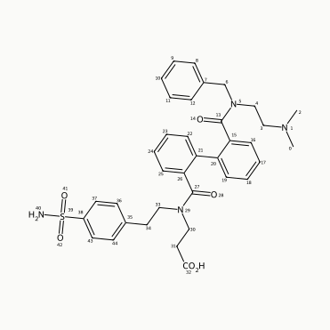 CN(C)CCN(Cc1ccccc1)C(=O)c1ccccc1-c1ccccc1C(=O)N(CCC(=O)O)CCc1ccc(S(N)(=O)=O)cc1